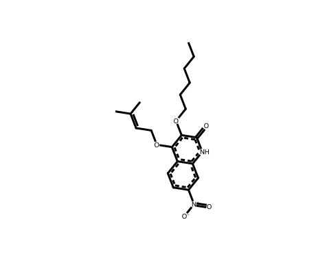 CCCCCCOc1c(OCC=C(C)C)c2ccc([N+](=O)[O-])cc2[nH]c1=O